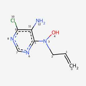 C=CCN(O)c1ncnc(Cl)c1N